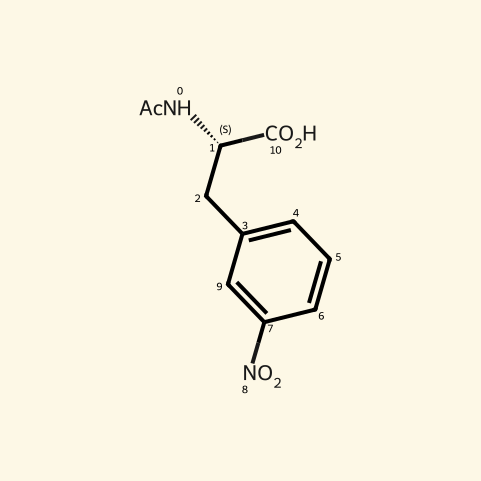 CC(=O)N[C@@H](Cc1cccc([N+](=O)[O-])c1)C(=O)O